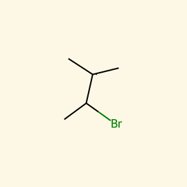 C[C](C)C(C)Br